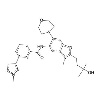 Cn1ccc(-c2cccc(C(=O)Nc3cc4c(cc3N3CCOCC3)nc(CCC(C)(C)O)n4C)n2)n1